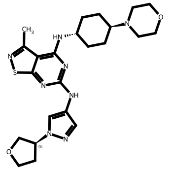 Cc1nsc2nc(Nc3cnn([C@H]4CCOC4)c3)nc(N[C@H]3CC[C@H](N4CCOCC4)CC3)c12